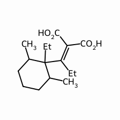 CCC(=C(C(=O)O)C(=O)O)C1(CC)C(C)CCCC1C